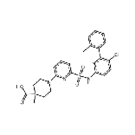 Cc1ccccc1-c1nc(NS(=O)(=O)c2cccc(N3CCC(C)(C(=O)O)CC3)n2)ccc1Cl